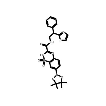 CC1(C)OB(c2ccc3c(c2)S(=O)(=O)NC(C(=O)NCC(c2ccccc2)c2ncco2)=N3)OC1(C)C